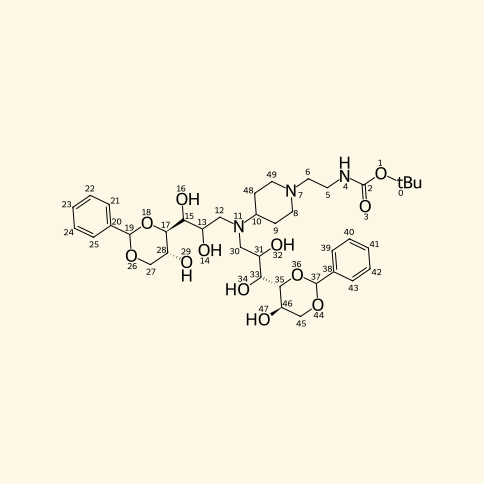 CC(C)(C)OC(=O)NCCN1CCC(N(CC(O)C(O)[C@@H]2OC(c3ccccc3)OC[C@H]2O)CC(O)C(O)[C@@H]2OC(c3ccccc3)OC[C@H]2O)CC1